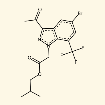 CC(=O)c1nn(CC(=O)OCC(C)C)c2c(C(F)(F)F)cc(Br)cc12